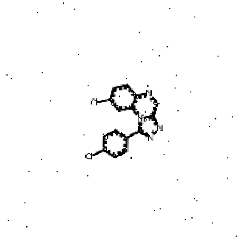 Clc1ccc(-c2nnc3cnc4ccc(Cl)cc4n23)cc1